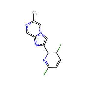 FC1=NC(c2cn3cc(C(F)(F)F)ncc3n2)C(F)C=C1